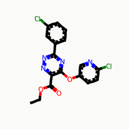 CCOC(=O)c1nnc(-c2cccc(Cl)c2)nc1Oc1ccc(Cl)nc1